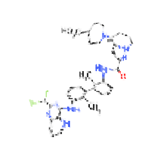 Cc1c(NC(=O)c2cc3n(n2)CCC[C@@H]3N2CCC(C(=O)O)CC2)cccc1-c1cccc(Nc2nc(C(F)F)nc3cccnc23)c1C